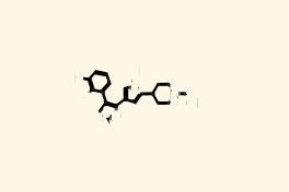 CCN1CCC(c2cc(-c3oncc3-c3cccc(F)c3F)c[nH]2)CC1